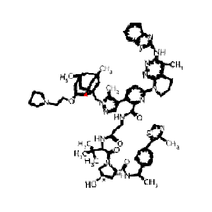 Cc1ncsc1-c1ccc(C(C)NC(=O)[C@@H]2C[C@@H](O)CN2C(=O)C(NC(=O)CCNC(=O)c2nc(N3CCCc4c3nnc(Nc3nc5ccccc5s3)c4C)ccc2-c2cnn(CC34CC5(C)CC(C)(C3)CC(OCCN3CCCC3)(C5)C4)c2C)C(C)(C)C)cc1